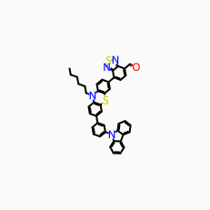 CCCCCCN1c2ccc(-c3cccc(-n4c5ccccc5c5ccccc54)c3)cc2Sc2cc(-c3ccc(C=O)c4nsnc34)ccc21